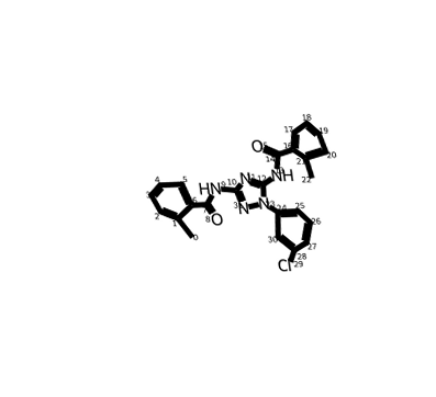 Cc1ccccc1C(=O)Nc1nc(NC(=O)c2ccccc2C)n(-c2cccc(Cl)c2)n1